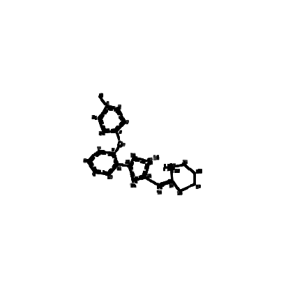 Cc1ccc(Oc2ccccc2-c2csc(/N=C3/CCCCN3)n2)cc1